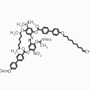 C=CCCCCCCCCOc1ccc(-c2ccc(C(=O)Oc3cc(N(C)C)c(O[C@@H](C)CCCCC=C)cc3/N=N/c3cc(OC(=O)c4ccc(-c5ccc(OCCCCCCCCCC)cc5)cc4)c([N+](=O)[O-])cc3OC(C)CCCCCC)cc2)cc1